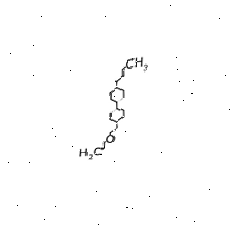 C=CCOCC[C@H]1CC[C@H]([C@H]2CC[C@H](CCCC)CC2)CC1